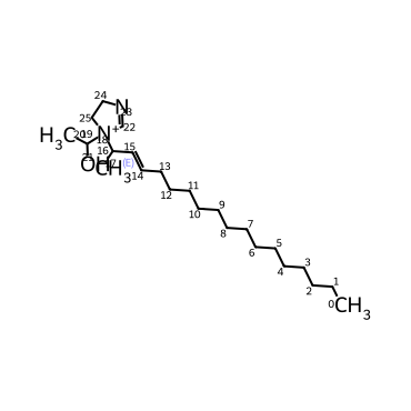 CCCCCCCCCCCCCC/C=C/C(C)[N+]1(C(C)O)C=NCC1